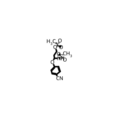 CS(=O)(=O)NC(CCOS(C)(=O)=O)Oc1ccc(C#N)cc1